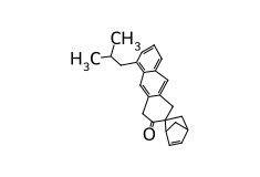 CC(C)Cc1cccc2cc3c(cc12)CC(=O)C1(C3)CC2C=CC1C2